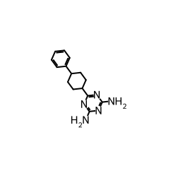 Nc1nc(N)nc(C2CCC(c3ccccc3)CC2)n1